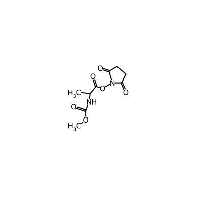 COC(=O)NC(C)C(=O)ON1C(=O)CCC1=O